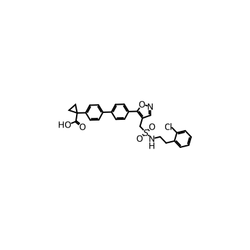 O=C(O)C1(c2ccc(-c3ccc(-c4oncc4CS(=O)(=O)NCCc4ccccc4Cl)cc3)cc2)CC1